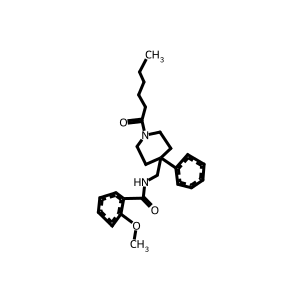 CCCCCC(=O)N1CCC(CNC(=O)c2ccccc2OC)(c2ccccc2)CC1